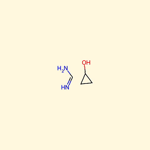 N=CN.OC1CC1